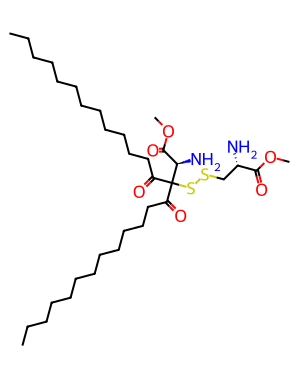 CCCCCCCCCCCCC(=O)C(SSC[C@H](N)C(=O)OC)(C(=O)CCCCCCCCCCCC)[C@H](N)C(=O)OC